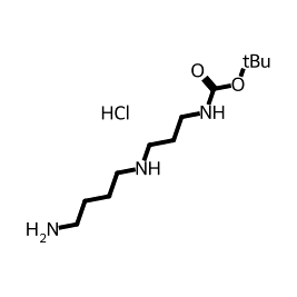 CC(C)(C)OC(=O)NCCCNCCCCN.Cl